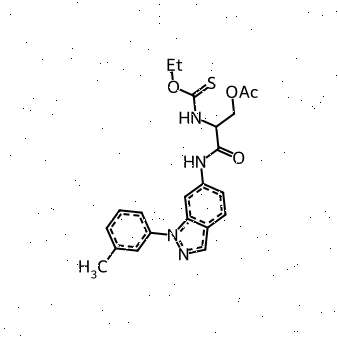 CCOC(=S)NC(COC(C)=O)C(=O)Nc1ccc2cnn(-c3cccc(C)c3)c2c1